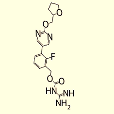 N=C(N)NC(=O)OCc1cccc(-c2cnc(OCC3CCCO3)nc2)c1F